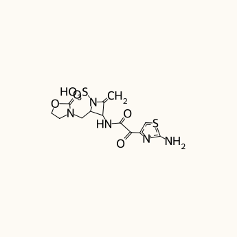 C=C1C(NC(=O)C(=O)c2csc(N)n2)C(CN2CCOC2=O)N1S(=O)(=O)O